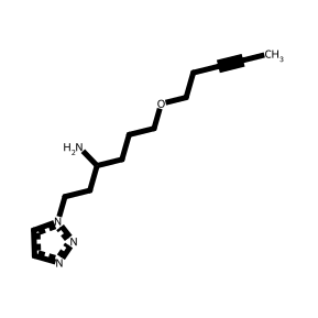 CC#CCCOCCCC(N)CCn1ccnn1